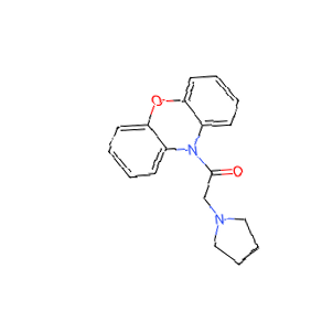 O=C(CN1CCCC1)N1c2ccccc2Oc2ccccc21